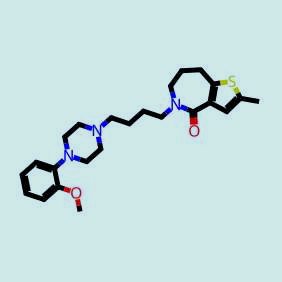 COc1ccccc1N1CCN(CCCCN2CCCc3sc(C)cc3C2=O)CC1